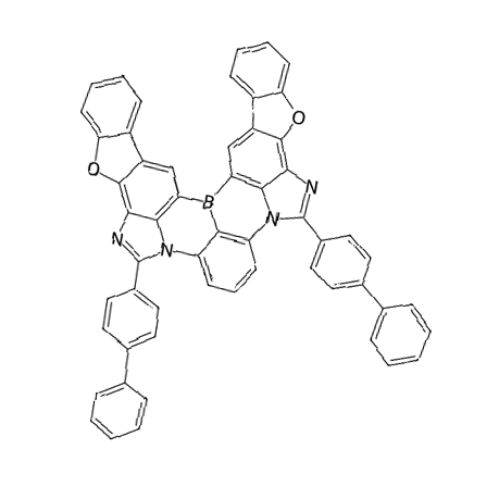 c1ccc(-c2ccc(-c3nc4c5oc6ccccc6c5cc5c4n3-c3cccc4c3B5c3cc5c6ccccc6oc5c5nc(-c6ccc(-c7ccccc7)cc6)n-4c35)cc2)cc1